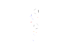 CN1CCN(S(=O)(=O)c2cccc(C(=O)N/N=C3/CCc4c(Cl)ccc(O)c43)c2)CC1